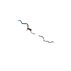 NCCCC(O)CCOCCC(O)CCCN